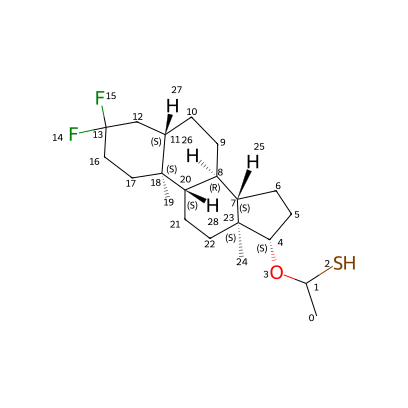 CC(S)O[C@H]1CC[C@H]2[C@@H]3CC[C@H]4CC(F)(F)CC[C@]4(C)[C@H]3CC[C@]12C